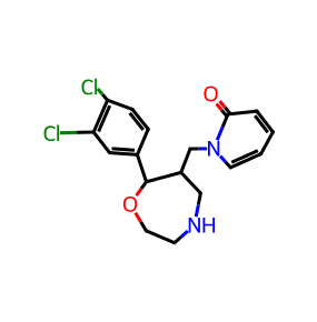 O=c1ccccn1CC1CNCCOC1c1ccc(Cl)c(Cl)c1